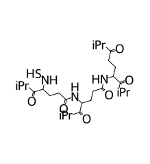 CC(C)C(=O)CCC(NC(=O)CCC(NC(=O)CCC(NS)C(=O)C(C)C)C(=O)C(C)C)C(=O)C(C)C